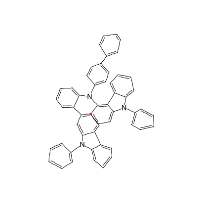 c1ccc(-c2ccc(N(c3ccccc3-c3ccc4c5ccccc5n(-c5ccccc5)c4c3)c3cccc4c3c3ccccc3n4-c3ccccc3)cc2)cc1